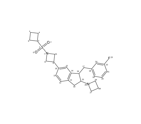 O=S(=O)(C1CCC1)N1CC(c2ccc3c(c2)C(Cc2cccc(F)c2)C(N2CCC2)C3)C1